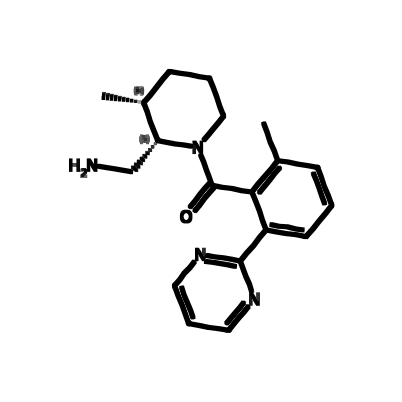 Cc1cccc(-c2ncccn2)c1C(=O)N1CCC[C@@H](C)[C@H]1CN